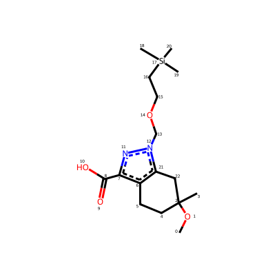 COC1(C)CCc2c(C(=O)O)nn(COCC[Si](C)(C)C)c2C1